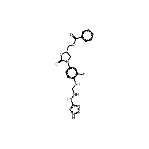 O=C(OC[C@H]1CN(c2ccc(NCNNc3nn[nH]n3)c(F)c2)C(=O)O1)c1ccccc1